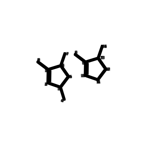 CC1=CC(C)CC1C.CC1=CCCC1C